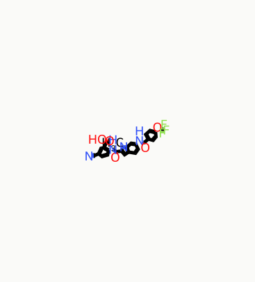 Cn1c(C(=O)Nc2ccc(C#N)cc2C(=O)O)cc2ccc(NC(=O)c3ccc(OC(F)(F)F)cc3)cc21